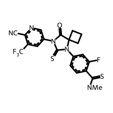 CNC(=S)c1ccc(N2C(=S)N(c3cnc(C#N)c(C(F)(F)F)c3)C(=O)C23CCC3)cc1F